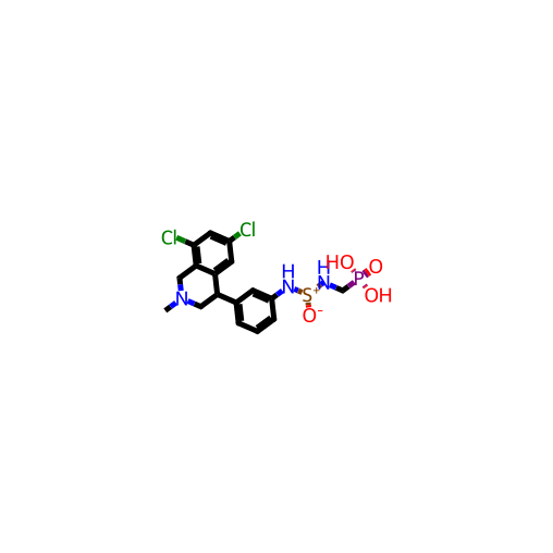 CN1Cc2c(Cl)cc(Cl)cc2C(c2cccc(N[S+]([O-])NCP(=O)(O)O)c2)C1